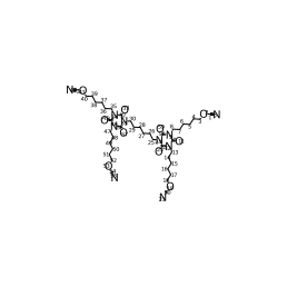 N#COCCCCCCn1c(=O)n(CCCCCCOC#N)c(=O)n(CCCCCCn2c(=O)n(CCCCCCOC#N)c(=O)n(CCCCCCOC#N)c2=O)c1=O